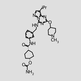 CC(C)c1cnn2c(NCc3cccc(NC(=O)[C@H]4CC[C@@H](OC(N)=O)CC4)c3)nc(OC3CCN(C)CC3)nc12